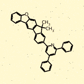 CC1(C)c2cc(-c3cc(-c4ccccc4)cc(-c4ccccc4)n3)ccc2-c2cc3c(cc21)oc1ccccc13